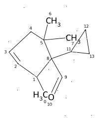 CC1C=CCC(C)(C)C1(C=O)C1CC1